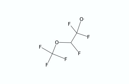 [O]C(F)(F)C(F)OC(F)(F)F